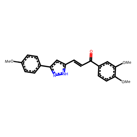 COc1ccc(-c2cc(/C=C/C(=O)c3ccc(OC)c(OC)c3)[nH]n2)cc1